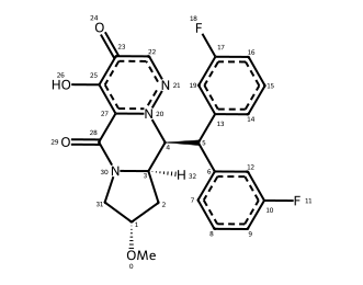 CO[C@H]1C[C@@H]2[C@H](C(c3cccc(F)c3)c3cccc(F)c3)n3ncc(=O)c(O)c3C(=O)N2C1